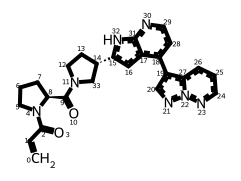 C=CC(=O)N1CCC[C@H]1C(=O)N1CC[C@H](c2cc3c(-c4cnn5ncccc45)ccnc3[nH]2)C1